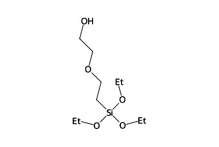 CCO[Si](CCOCCO)(OCC)OCC